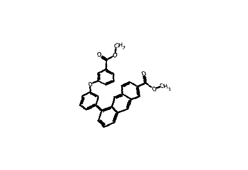 COC(=O)c1cccc(Oc2cccc(-c3cccc4cc5cc(C(=O)OC)ccc5cc34)c2)c1